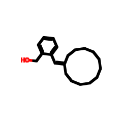 OCc1ccccc1C=C1CCCCCCCCCCC1